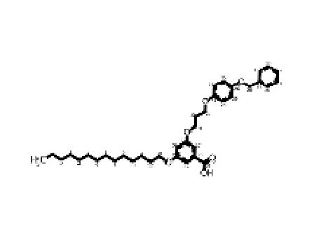 CCCCCCCCCCCCCCOc1cc(OCCCOc2ccc(OCc3ccccc3)cc2)cc(C(=O)O)c1